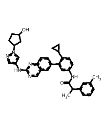 Cc1cccc(C(C)C(=O)Nc2ccc(C3CC3)c(-c3ccc4nc(Nc5cnn(C6CCC(O)C6)c5)ncc4c3)c2)c1